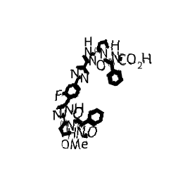 COC(=O)N[C@@H](C(=O)N1CCC[C@H]1c1ncc(C2=CC=C(c3ncc(-c4c[nH]c([C@@H]5CCCN5C(=O)[C@H](NC(=O)O)c5ccccc5)n4)cn3)CC2F)[nH]1)C1=CCCC=C1